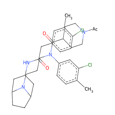 CC(=O)N1CCC(C(=O)N(CCCN2C3CCC2CC(NC(=O)Cc2ccc(Cl)c(C)c2)C3)c2ccc(C)c(Cl)c2)CC1